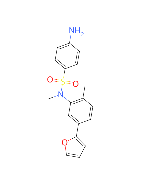 Cc1ccc(-c2ccco2)cc1N(C)S(=O)(=O)c1ccc(N)cc1